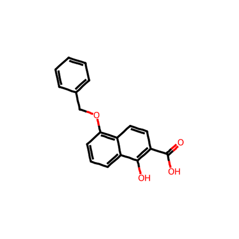 O=C(O)c1ccc2c(OCc3ccccc3)cccc2c1O